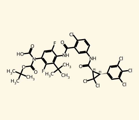 CC(C)(C)OC(=O)N(C(=O)O)c1cc(F)c(NC(=O)c2cc(NC(=O)[C@H]3[C@H](c4cc(Cl)c(Cl)c(Cl)c4)C3(Cl)Cl)ccc2Cl)c(C(C)(C)C)c1F